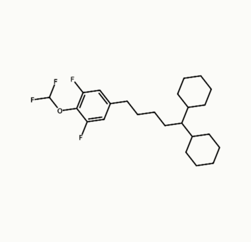 Fc1cc(CCCCC(C2CCCCC2)C2CCCCC2)cc(F)c1OC(F)F